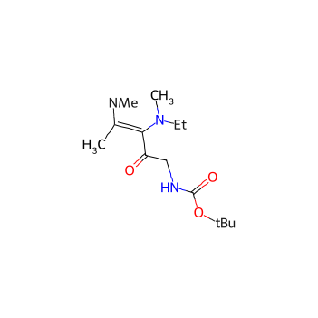 CCN(C)/C(C(=O)CNC(=O)OC(C)(C)C)=C(/C)NC